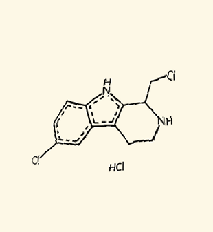 Cl.ClCC1NCCc2c1[nH]c1ccc(Cl)cc21